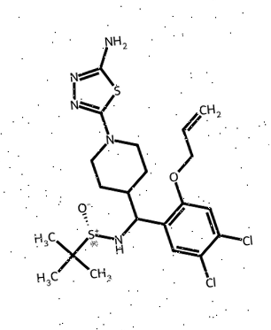 C=CCOc1cc(Cl)c(Cl)cc1C(N[S@@+]([O-])C(C)(C)C)C1CCN(c2nnc(N)s2)CC1